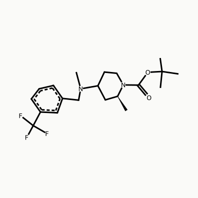 C[C@H]1CC(N(C)Cc2cccc(C(F)(F)F)c2)CCN1C(=O)OC(C)(C)C